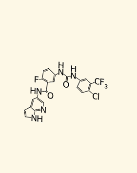 O=C(Nc1ccc(F)c(C(=O)Nc2cnc3[nH]ccc3c2)c1)Nc1ccc(Cl)c(C(F)(F)F)c1